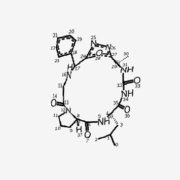 CC(C)C[C@@H]1NC(=O)[C@@H]2CCCN2C(=O)CNC(c2ccccc2)c2nnc(o2)[C@H](C)NC(=O)NC1=O